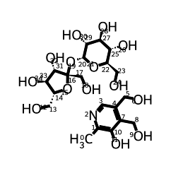 Cc1ncc(CO)c(CO)c1O.OC[C@H]1O[C@@](CO)(O[C@H]2O[C@H](CO)[C@@H](O)[C@H](O)[C@H]2O)[C@@H](O)[C@@H]1O